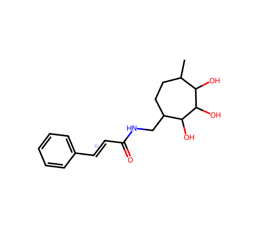 CC1CCC(CNC(=O)/C=C/c2ccccc2)C(O)C(O)C1O